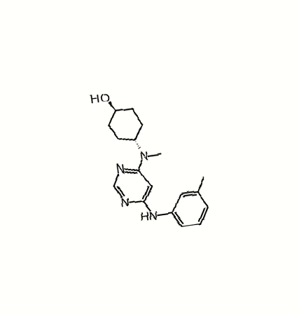 Cc1cccc(Nc2cc(N(C)[C@H]3CC[C@H](O)CC3)ncn2)c1